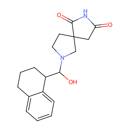 O=C1CC2(CCN(C(O)C3CCCc4ccccc43)C2)C(=O)N1